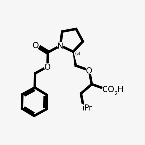 CC(C)CC(OC[C@@H]1CCCN1C(=O)OCc1ccccc1)C(=O)O